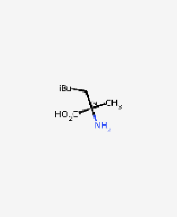 CCC(C)C[C@](C)(N)C(=O)O